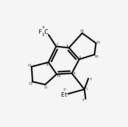 CCC(C)(C)c1c2c(c(C(F)(F)F)c3c1CCC3)CCC2